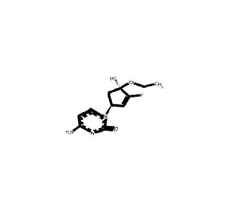 CCO[C@]1(O)C[C@H](n2ccc(N)nc2=O)C=C1F